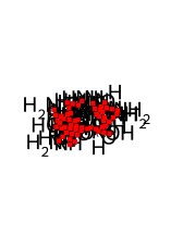 CC(=O)N[C@@H](CCCNC(=N)N)C(=O)N[C@H](C(=O)N[C@@H](CCCCN)C(=O)N[C@@H](CO)C(=O)N[C@@H](CCCNC(=N)N)C(=O)N[C@H](C(=O)N[C@@H](Cc1c[nH]c2ccccc12)C(=O)N[C@@H](C)C(=O)NCC(=O)N[C@@H](CCC(=O)O)C(=O)N[C@@H](CCCCN)C(=O)N[C@@H](CO)C(=O)N[C@@H](CCCCN)C(=O)N[C@@H](CCCNC(=N)N)C(N)=O)[C@@H](C)OP(=O)(O)O)[C@@H](C)O